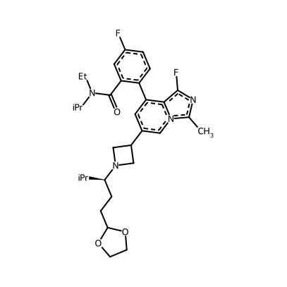 CCN(C(=O)c1cc(F)ccc1-c1cc(C2CN([C@@H](CCC3OCCO3)C(C)C)C2)cn2c(C)nc(F)c12)C(C)C